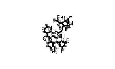 C[C@@H]1[C@@H]2c3c(C(F)F)nn(CC(=O)N[C@@H](Cc4cc(F)cc(F)c4)c4nc5ncccc5c(=O)n4-c4ccc5scnc5c4)c3C(F)(F)[C@H]12